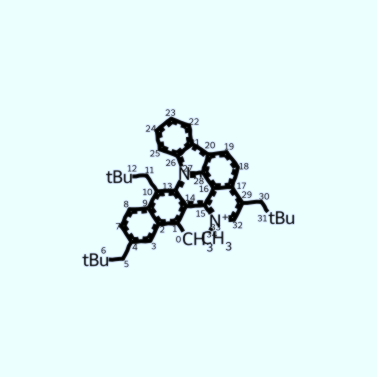 Cc1c2cc(CC(C)(C)C)ccc2c(CC(C)(C)C)c2c1c1c3c(ccc4c5ccccc5n2c43)c(CC(C)(C)C)c[n+]1C